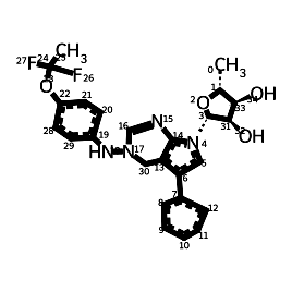 C[C@H]1O[C@@H](n2cc(-c3ccccc3)c3c2N=CN(Nc2ccc(OC(C)(F)F)cc2)C3)[C@H](O)[C@@H]1O